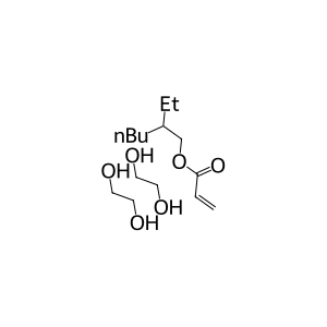 C=CC(=O)OCC(CC)CCCC.OCCO.OCCO